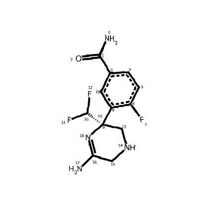 NC(=O)c1ccc(F)c([C@@]2(C(F)F)CNCC(N)=N2)c1